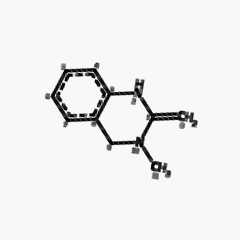 C=C1Nc2ccccc2CN1C